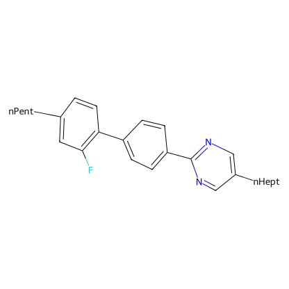 CCCCCCCc1cnc(-c2ccc(-c3ccc(CCCCC)cc3F)cc2)nc1